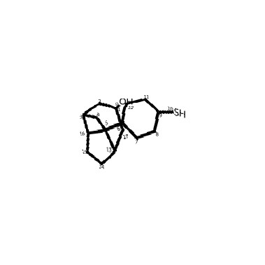 OC1CC2CC3(C4CCC(S)CC4)C(CCC23)C1